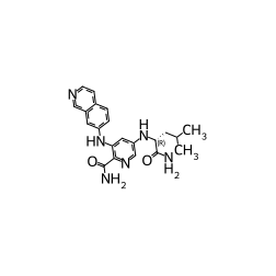 CC(C)C[C@@H](Nc1cnc(C(N)=O)c(Nc2ccc3ccncc3c2)c1)C(N)=O